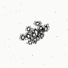 N#Cc1ccccc1N(c1cc(-c2ccccc2)cc(-c2ccccc2)c1)c1ccc2ccc3c(N(c4cc(-c5ccccc5)cc(-c5ccccc5)c4)c4ccccc4C#N)ccc4ccc1c2c43